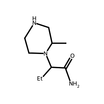 CCC(C(N)=O)N1CCNCC1C